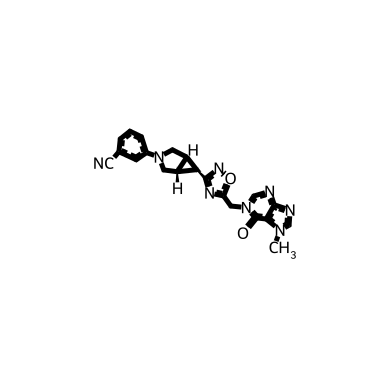 Cn1cnc2ncn(Cc3nc([C@H]4[C@@H]5CN(c6cccc(C#N)c6)C[C@@H]54)no3)c(=O)c21